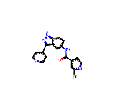 N#Cc1cc(C(=O)Nc2ccc3[nH]nc(-c4ccncc4)c3c2)ccn1